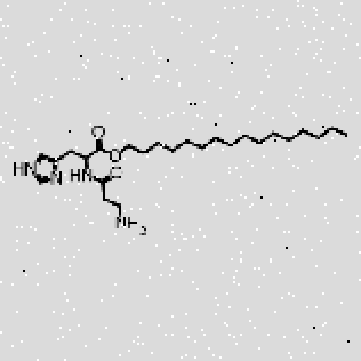 CCCCCCCCCCCCCCCCOC(=O)C(Cc1c[nH]cn1)NC(=O)CCN